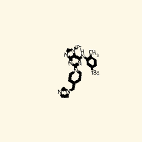 Cc1ccc(C(C)(C)C)cc1Nc1nc(N2CCC(Cn3ccnc3)CC2)nc2ncn(C(C)C)c12